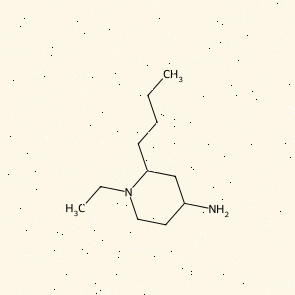 CCCCC1CC(N)CCN1CC